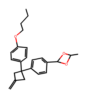 C=C1CC(c2ccc(OCCCC)cc2)(c2ccc(C3OC(C)O3)cc2)C1